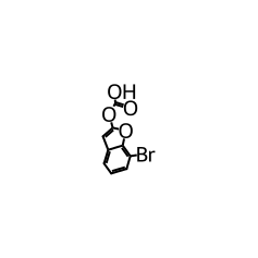 O=C(O)Oc1cc2cccc(Br)c2o1